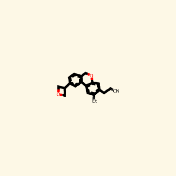 CCc1cc2c(cc1CCC#N)OCc1ccc(C3COC3)cc1-2